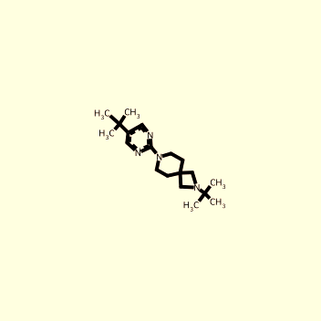 CC(C)(C)c1cnc(N2CCC3(CC2)CN(C(C)(C)C)C3)nc1